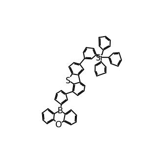 c1ccc([Si](c2ccccc2)(c2ccccc2)c2cccc(-c3ccc4sc5c(-c6cccc(B7c8ccccc8Oc8ccccc87)c6)cccc5c4c3)c2)cc1